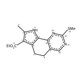 CCOC(=O)c1c(C)[nH]c2c1CCc1cnc(SC)nc1-2